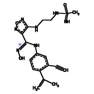 C#Cc1cc(N/C(=N\O)c2nonc2NCCNS(C)(=N)=O)ccc1C(=C)C